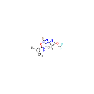 CC(NC(=O)c1cc(C2CC2)cc(C(F)(F)F)c1)c1nc(Br)nn1-c1ccc(OCC(F)F)cn1